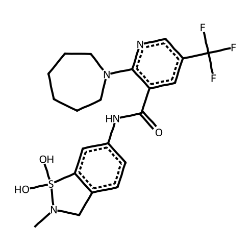 CN1Cc2ccc(NC(=O)c3cc(C(F)(F)F)cnc3N3CCCCCC3)cc2S1(O)O